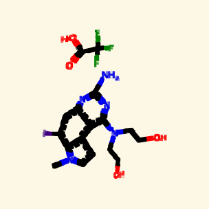 Cn1ccc2c3c(N(CCO)CCO)nc(N)nc3cc(I)c21.O=C(O)C(F)(F)F